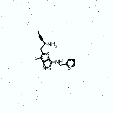 CC#C[C@H](N)Cc1sc2c(NCc3cccs3)snc2c1C